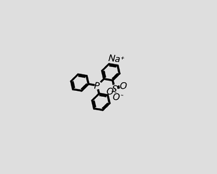 O=S(=O)([O-])c1ccccc1P(c1ccccc1)c1ccccc1.[Na+]